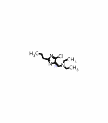 CCCC1=N/C(=C/N(CC)CC)C(Cl)=N1